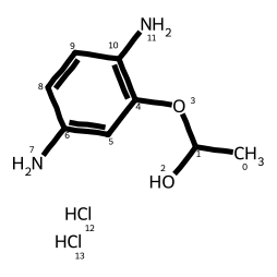 CC(O)Oc1cc(N)ccc1N.Cl.Cl